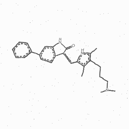 Cc1[nH]c(C=C2C(=O)Nc3cc(-c4ccccc4)ccc32)c(C)c1CCCN(C)C